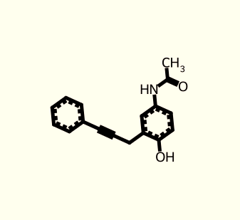 CC(=O)Nc1ccc(O)c(CC#Cc2ccccc2)c1